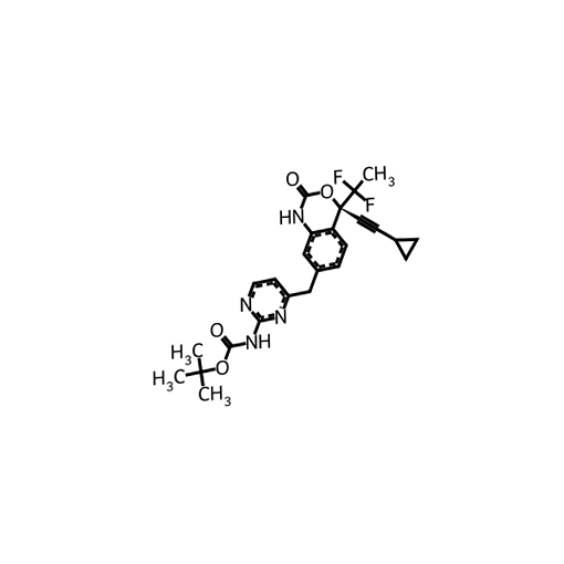 CC(C)(C)OC(=O)Nc1nccc(Cc2ccc3c(c2)NC(=O)O[C@]3(C#CC2CC2)C(C)(F)F)n1